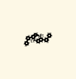 CCn1c2ccc3cc(-c4cccc(-c5ccccc5)c4)cc(c3c2)n(CC)c2ccc3cc(-c4cccc(-c5ccccc5)c4)cc1c3c2